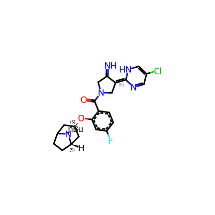 CCCCN1C2CC[C@H]1C[C@@H](Oc1cc(F)ccc1C(=O)N1CC(=N)/C(=C3/N=CC(Cl)=CN3)C1)C2